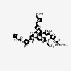 CCCCCNC(=O)O[C@@H]1CO[C@H](c2cc(Nc3nc(-[n+]4[nH]c([C@H]5C[C@@H](F)[C@@H](OC(=O)NC67CC(C6)C7)C5)cc4Nc4nccc5nc(CN6CCC6COC)cn45)cc4nc(OCC(F)(F)F)cn34)n[nH]2)[C@@H]1F